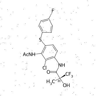 CC(=O)Nc1c(Sc2ccc(F)cc2)ccc(NC(=O)[C@@](C)(O)C(F)(F)F)c1Cl